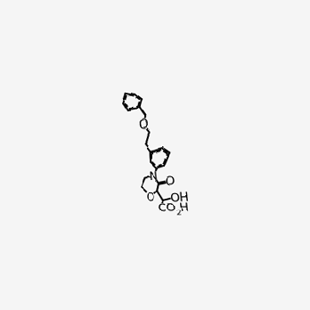 O=C(O)[C@H](O)[C@H]1OCCN(c2cccc(CCOCc3ccccc3)c2)C1=O